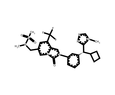 CN(Cc1cc(C(F)(F)F)c2cn(-c3cccc([C@H](c4nncn4C)C4CCC4)c3)c(=O)n2c1)S(C)(=O)=O